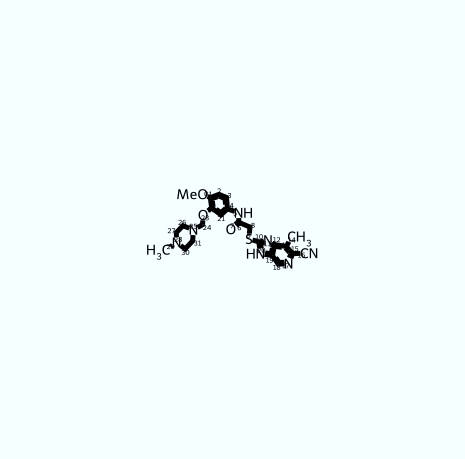 COc1ccc(NC(=O)CSc2nc3c(C)c(C#N)ncc3[nH]2)cc1OCN1CCN(C)CC1